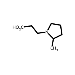 CC1CCCN1CCC(=O)O